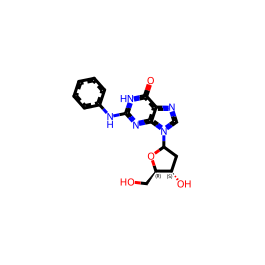 O=c1[nH]c(Nc2ccccc2)nc2c1ncn2C1C[C@H](O)[C@@H](CO)O1